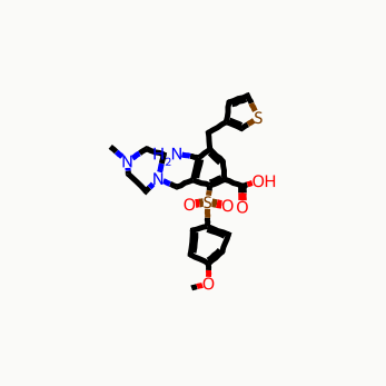 COc1ccc(S(=O)(=O)c2c(C(=O)O)cc(Cc3ccsc3)c(N)c2CN2CCN(C)CC2)cc1